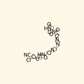 CC1(C)C(NC(=O)c2ccc(N3CC=C(CN4CCN(c5ccc6c(c5)C(=O)N(C5CCC(=O)NC5=O)C6=O)CC4)CC3)cc2)C(C)(C)C1Oc1ccc(C#N)c(Cl)c1